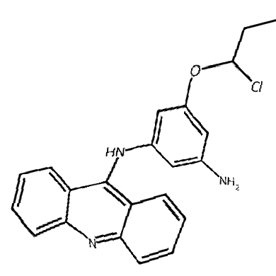 CCC(Cl)Oc1cc(N)cc(Nc2c3ccccc3nc3ccccc23)c1